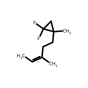 C/C=C(/C)CCC1(C)CC1(F)F